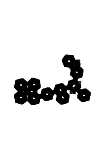 c1ccc(-c2nc(-c3ccc4sc5ccccc5c4c3)cc(-c3ccc(-c4ccc(-c5cccc6c5-c5ccccc5C6(c5ccccc5)c5ccccc5)cc4)c4ccccc34)n2)cc1